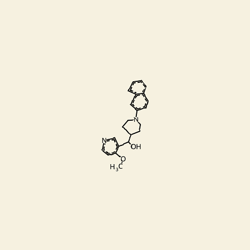 COc1ccncc1C(O)C1CCN(c2ccc3ccccc3c2)CC1